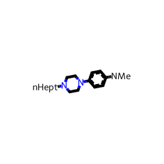 CCCCCCCN1CCN(c2ccc(NC)cc2)CC1